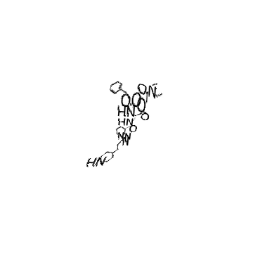 CCN(CC)C(=O)COC(=O)[C@H](CNC(=O)C1CCCn2c(CCC3CCNCC3)nnc21)NC(=O)OCc1ccccc1